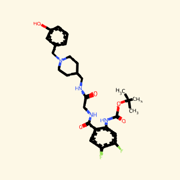 CC(C)(C)OC(=O)Nc1cc(F)c(F)cc1C(=O)NCC(=O)NCC1CCN(Cc2cccc(O)c2)CC1